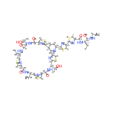 C/C=C(\NC(=O)c1csc(-c2csc(-c3ccc4c(n3)-c3csc(n3)C(C(C)O)NC(=O)c3csc(n3)C(C(C)C)NC(=O)c3csc(n3)/C(=C/C)NC(=O)C(C(C)O)NC(=O)c3csc-4n3)n2)n1)C(=O)NCC(C)=O